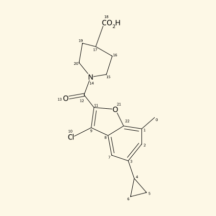 Cc1cc(C2CC2)cc2c(Cl)c(C(=O)N3CCC(C(=O)O)CC3)oc12